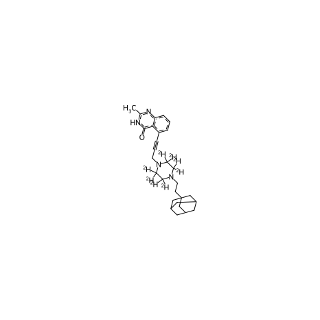 [2H]C1([2H])N(CC#Cc2cccc3nc(C)[nH]c(=O)c23)C([2H])([2H])C([2H])([2H])N(CCC23CC4CC(CC(C4)C2)C3)C1([2H])[2H]